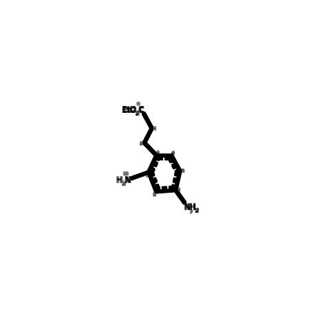 CCOC(=O)CCc1ccc(N)cc1N